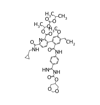 C=Cc1cc(C(=O)Nc2ccc(C(=N)NC(=O)OC3COCOC3)cc2)c(-c2ccc(C(=O)NCC3CC3)nc2C(=O)OC(C)OC(=O)OC(C)C)cc1OC